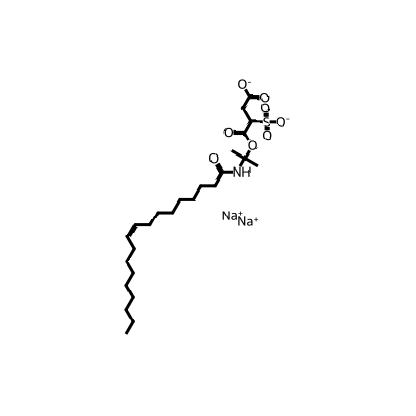 CCCCCCCC/C=C\CCCCCCCC(=O)NC(C)(C)OC(=O)C(CC(=O)[O-])S(=O)(=O)[O-].[Na+].[Na+]